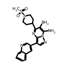 Bc1c(C2CCN(S(C)(=O)=O)CC2)nc2c(-c3cnc4ccccc4c3)cnn2c1N